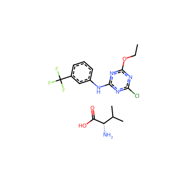 CC(C)[C@H](N)C(=O)O.CCOc1nc(Cl)nc(Nc2cccc(C(F)(F)F)c2)n1